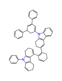 C1=CC(C2=CCCc3c2c2c(n3-c3ccccc3)C=CCC2)=C(C2=Cc3c(n(C4=CC(c5ccccc5)=CC(c5ccccc5)C4)c4ccccc34)CC2)CC1